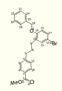 COC(=O)c1ccc(CCCc2cc(Br)ccc2OCc2ccccc2)cc1